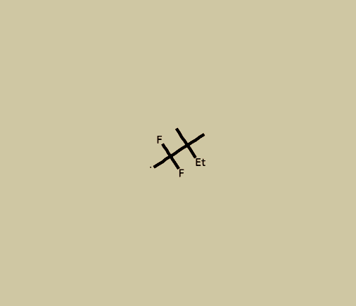 [CH2]C(F)(F)C(C)(C)CC